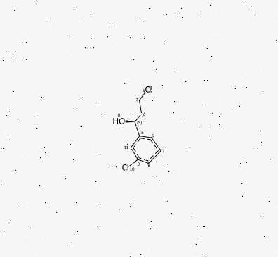 O[C@@H](CCCl)c1cccc(Cl)c1